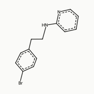 Brc1ccc(CCNc2ccccn2)cc1